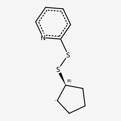 [CH]1CCC[C@@H]1SSc1ccccn1